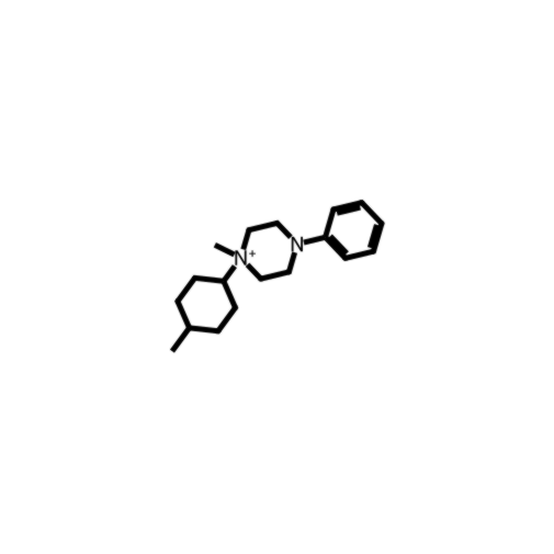 CC1CCC([N+]2(C)CCN(c3ccccc3)CC2)CC1